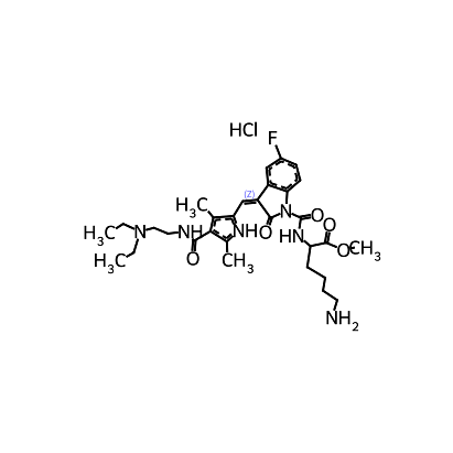 CCN(CC)CCNC(=O)c1c(C)[nH]c(/C=C2\C(=O)N(C(=O)NC(CCCCN)C(=O)OC)c3ccc(F)cc32)c1C.Cl